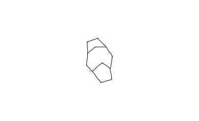 C1CC2C[C]1CC1CCC(C2)C1